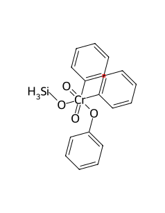 [O]=[Cr](=[O])([O][SiH3])([O]c1ccccc1)([c]1ccccc1)[c]1ccccc1